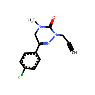 C#CCN1N=C(c2ccc(Cl)cc2)CN(C)C1=O